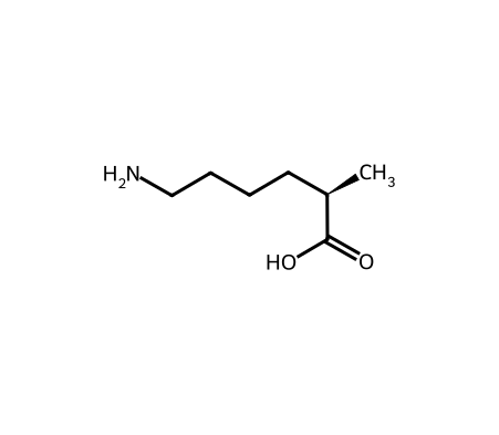 C[C@H](CCCCN)C(=O)O